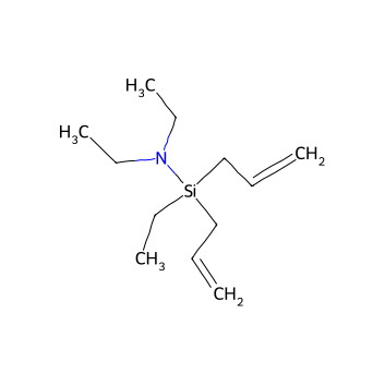 C=CC[Si](CC)(CC=C)N(CC)CC